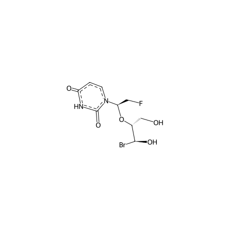 O=c1ccn([C@@H](CF)O[C@H](CO)[C@@H](O)Br)c(=O)[nH]1